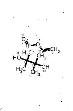 C=COP=O.CC(C)(O)C(C)(C)O